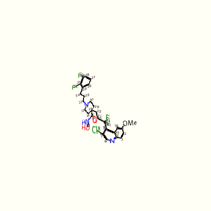 COc1ccc2ncc(Cl)c([C@H](F)CCC3(C(=O)NO)CCN(CCCc4cccc(F)c4F)CC3)c2c1